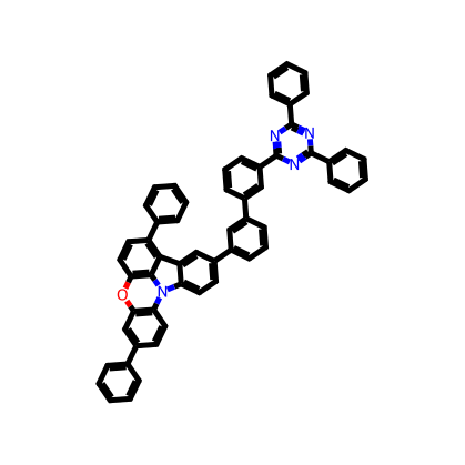 c1ccc(-c2ccc3c(c2)Oc2ccc(-c4ccccc4)c4c5cc(-c6cccc(-c7cccc(-c8nc(-c9ccccc9)nc(-c9ccccc9)n8)c7)c6)ccc5n-3c24)cc1